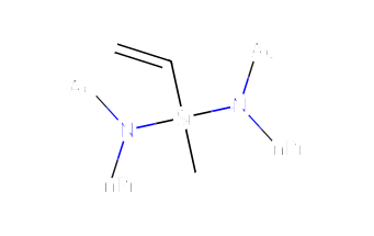 C=C[Si](C)(N(CCC)C(C)=O)N(CCC)C(C)=O